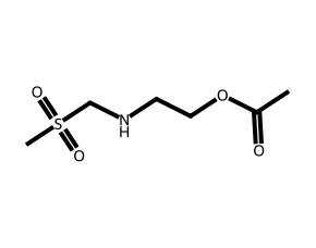 CC(=O)OCCNCS(C)(=O)=O